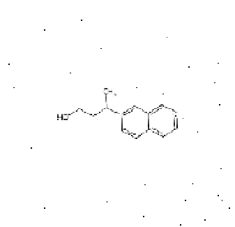 CC(CCO)c1ccc2ccccc2c1